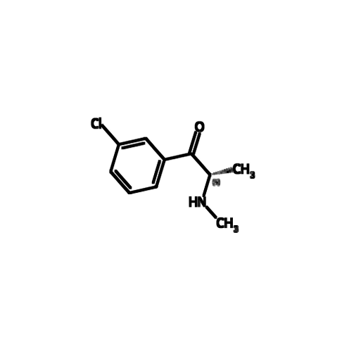 CN[C@@H](C)C(=O)c1cccc(Cl)c1